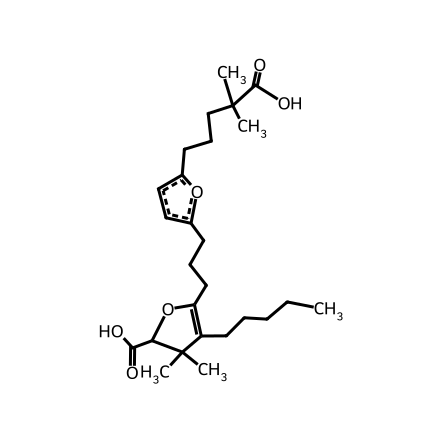 CCCCCC1=C(CCCc2ccc(CCCC(C)(C)C(=O)O)o2)OC(C(=O)O)C1(C)C